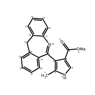 COC(=O)c1c[nH]c(C)c1C1=Nc2ccccc2Cc2ccccc21